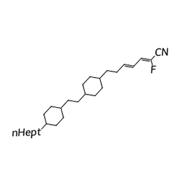 CCCCCCCC1CCC(CCC2CCC(CCC=CC=C(F)C#N)CC2)CC1